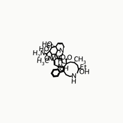 C#C/C=C1\C(=C/C[C@@]2(C(=O)OC)C[C@H](C)CC(O)(CC)CNCCc3c2[nH]c2ccccc32)[C@]23CCN4CC=C[C@](CC)(C42)[C@@H](O)[C@](O)(C(N)=O)C3N1C